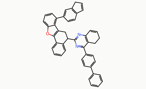 C1=Cc2nc(C3Cc4c(oc5cccc(-c6ccc7c(c6)CC=C7)c45)-c4ccccc43)nc(-c3ccc(-c4ccccc4)cc3)c2CC1